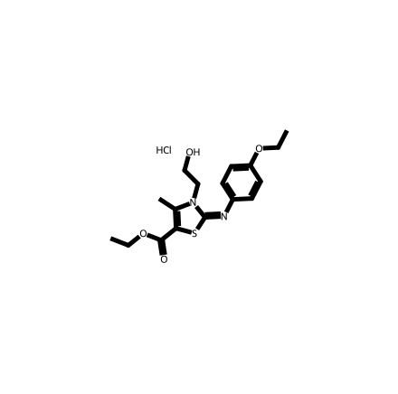 CCOC(=O)c1s/c(=N/c2ccc(OCC)cc2)n(CCO)c1C.Cl